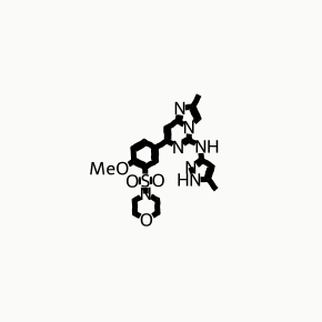 COc1ccc(-c2cc3nc(C)cn3c(Nc3cc(C)[nH]n3)n2)cc1S(=O)(=O)N1CCOCC1